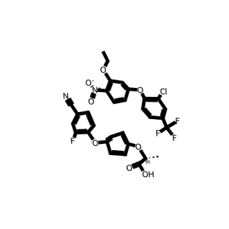 CCOc1cc(Oc2ccc(C(F)(F)F)cc2Cl)ccc1[N+](=O)[O-].C[C@@H](Oc1ccc(Oc2ccc(C#N)cc2F)cc1)C(=O)O